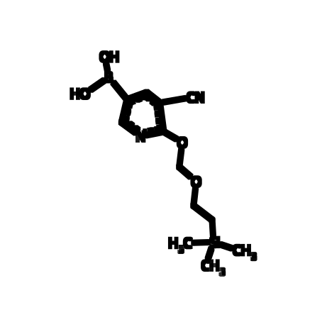 C[Si](C)(C)CCOCOc1ncc(B(O)O)cc1C#N